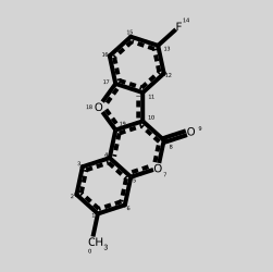 Cc1ccc2c(c1)oc(=O)c1c3cc(F)ccc3oc21